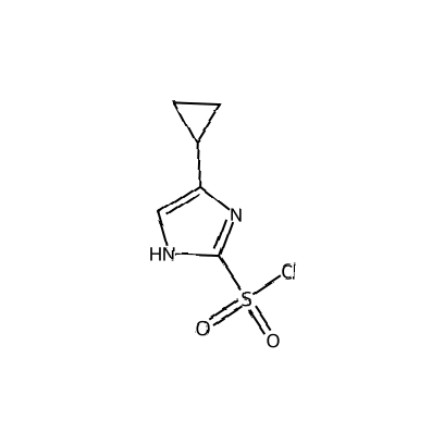 O=S(=O)(Cl)c1nc(C2CC2)c[nH]1